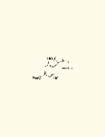 CCC(C)CC(N)(C(=O)O)c1ccc(OC)cc1F.Cl